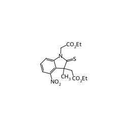 CCOC(=O)CN1C(=S)C(C)(CC(=O)OCC)c2c1cccc2[N+](=O)[O-]